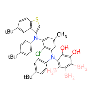 Bc1c(B)c(O)c(O)c(N(c2ccc(C(C)(C)C)cc2)c2cc(C)cc(N(c3ccc(C(C)(C)C)cc3)c3csc4ccc(C(C)(C)C)cc34)c2Cl)c1B